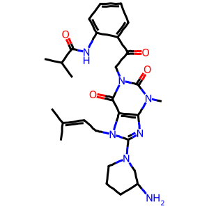 CC(C)=CCn1c(N2CCCC(N)C2)nc2c1c(=O)n(CC(=O)c1ccccc1NC(=O)C(C)C)c(=O)n2C